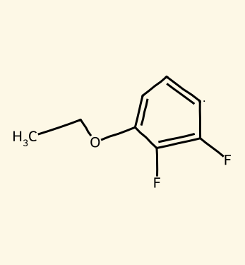 CCOc1cc[c]c(F)c1F